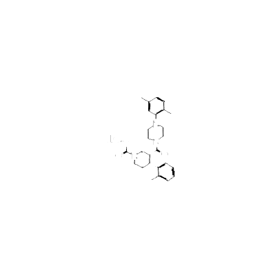 Cc1ccc(C)c(N2CCN(C(=O)[C@@H]3CN(C(=O)OC(C)(C)C)CC[C@@H]3c3ccccc3C)CC2)c1